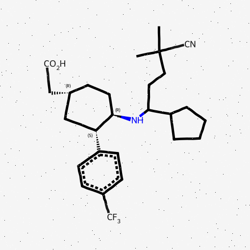 CC(C)(C#N)CCC(N[C@@H]1CC[C@@H](CC(=O)O)C[C@H]1c1ccc(C(F)(F)F)cc1)C1CCCC1